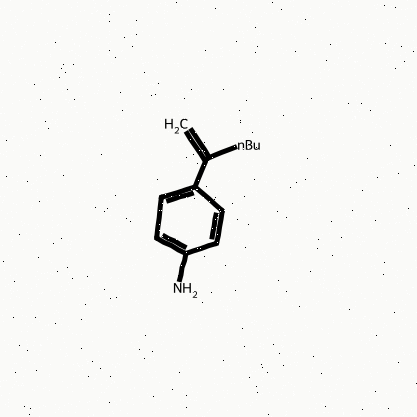 C=C(CCCC)c1ccc(N)cc1